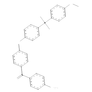 COc1ccc(C(=O)c2ccc(Oc3ccc(C(C)(C)c4ccc(OI)cc4)cc3)cc2)cc1